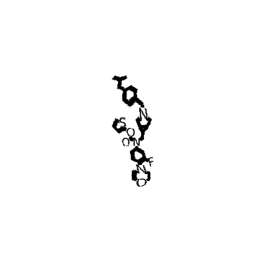 CC(C)Cc1ccc(CN2CC3C(C2)C3CN(C(=O)Oc2cccs2)c2ccc(N3CCOCC3)c(F)c2)cc1